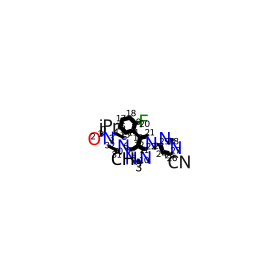 CC(C)C(=O)N1CCN(c2ncnc3c2c(-c2ccccc2F)cn3-c2cc(C#N)ncn2)[C@@H](C)C1